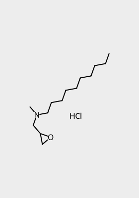 CCCCCCCCCCN(C)CC1CO1.Cl